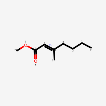 CCCC/C(C)=C/C(=O)OC